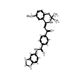 COc1ccc2c(c1)C(=CC(=O)c1ccc(C(=O)Nc3ccc4c(c3)OCO4)cc1)NC(C)(C)C2